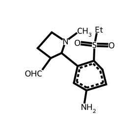 CCS(=O)(=O)c1ccc(N)cc1C1C(C=O)CCN1C